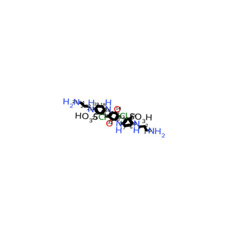 NCCCNc1ccc(NC2=C(Cl)C(=O)C(Nc3ccc(NCCCN)c(S(=O)(=O)O)c3)=C(Cl)C2=O)cc1S(=O)(=O)O